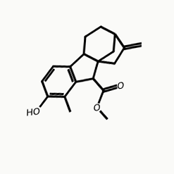 C=C1CC23CC1CCC2c1ccc(O)c(C)c1C3C(=O)OC